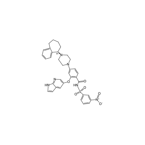 O=C(NS(=O)(=O)c1cccc([N+](=O)[O-])c1)c1ccc(N2CCN([C@@H]3CCCCc4ccccc43)CC2)cc1Oc1cnc2[nH]ccc2c1